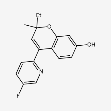 CCC1(C)C=C(c2ccc(F)cn2)c2ccc(O)cc2O1